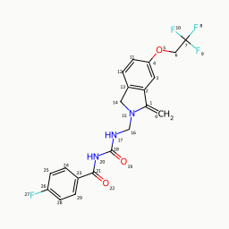 C=C1c2cc(OCC(F)(F)F)ccc2CN1CNC(=O)NC(=O)c1ccc(F)cc1